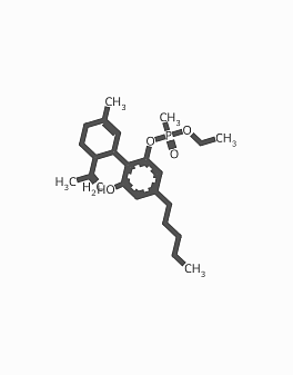 C=C(C)C1CCC(C)=CC1c1c(O)cc(CCCCC)cc1OP(C)(=O)OCC